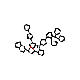 c1ccc(-c2ccc(-c3cccc(N(c4ccc(-c5cccc6c5-c5ccccc5C6(c5ccccc5)c5ccccc5)cc4)c4ccccc4-c4ccc(-c5ccc6ccccc6c5)cc4)c3)cc2)cc1